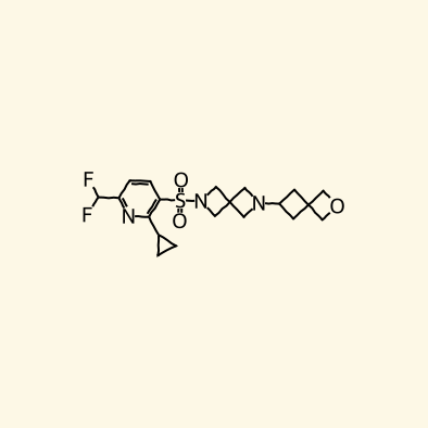 O=S(=O)(c1ccc(C(F)F)nc1C1CC1)N1CC2(CN(C3CC4(COC4)C3)C2)C1